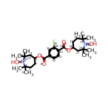 CC1(C)CCC(OC(=O)c2ccc(C(=O)OC3CCC(C)(C)N(O)C(C)(C)C3)c(F)c2)CC(C)(C)N1O